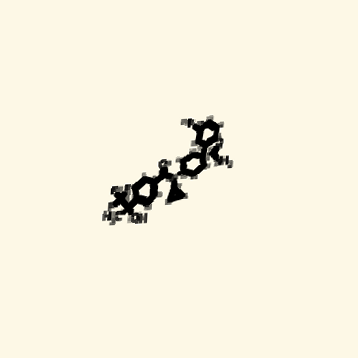 C[C@](O)(c1ccc(C(=O)N(C2CC2)[C@H]2CC[C@](C(N)=O)(c3cccc(F)c3)CC2)cc1)C(F)(F)F